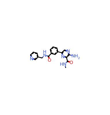 CNC(=O)c1nc(-c2cccc(C(=O)NCc3cccnc3)c2)cnc1N